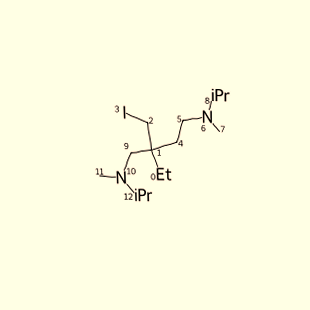 CCC(CI)(CCN(C)C(C)C)CN(C)C(C)C